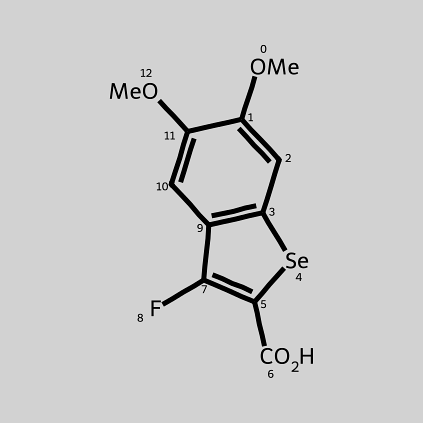 COc1cc2[se]c(C(=O)O)c(F)c2cc1OC